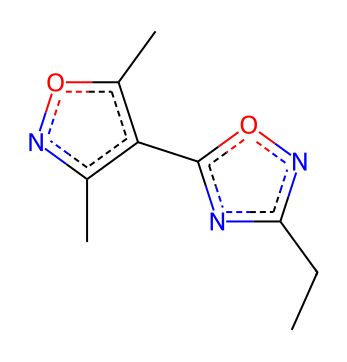 CCc1noc(-c2c(C)noc2C)n1